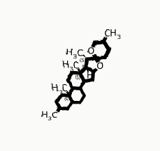 CC1CCC2(OC1)OC1CC3C4CCC5CC(C)CC[C@]5(C)C4CC[C@]3(C)[C@H]1[C@@H]2C